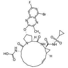 Cc1nc2c(Br)cc(F)cc2nc1O[C@@H]1C[C@H]2C(=O)N[C@]3(C(=O)NS(=O)(=O)C4CC4)C[C@H]3C=CCCCCC[C@H](NC(=O)O)C(=O)N2C1